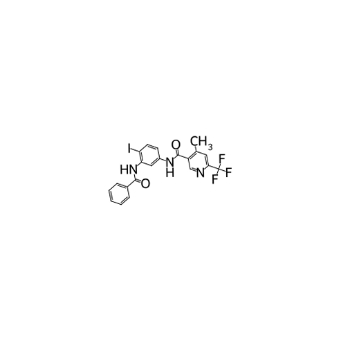 Cc1cc(C(F)(F)F)ncc1C(=O)Nc1ccc(I)c(NC(=O)c2ccccc2)c1